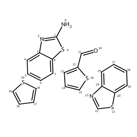 Nc1nc2ccccc2s1.O=Cc1cccs1.c1ccc2scnc2c1.c1ccsc1